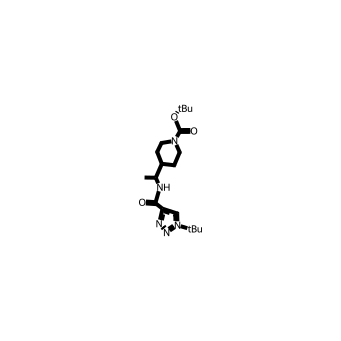 CC(NC(=O)c1cn(C(C)(C)C)nn1)C1CCN(C(=O)OC(C)(C)C)CC1